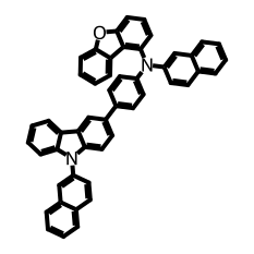 c1ccc2cc(N(c3ccc(-c4ccc5c(c4)c4ccccc4n5-c4ccc5ccccc5c4)cc3)c3cccc4oc5ccccc5c34)ccc2c1